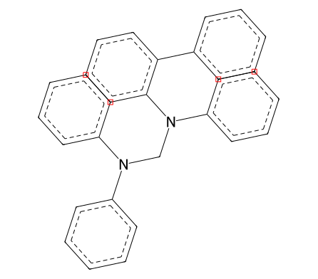 c1ccc(-c2ccccc2N(CN(c2ccccc2)c2ccccc2)c2ccccc2)cc1